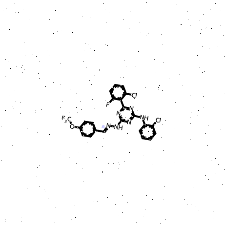 Fc1cccc(Cl)c1-c1nc(N/N=C/c2ccc(OC(F)(F)F)cc2)nc(Nc2ccccc2Cl)n1